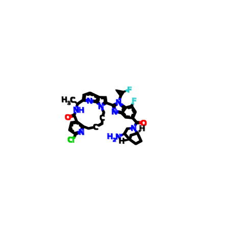 C[C@H]1NC(=O)c2ccc(Cl)nc2CCCCCn2c(-c3nc4cc(C(=O)N5C[C@H](N)[C@H]6CC[C@H]5C6)cc(F)c4n3C3C[C@H]3F)cc3ccc1nc32